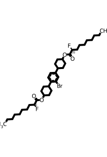 CCCCCCCC[C@H](F)C(=O)OC1CCC(c2ccc(C3CCC(OC(=O)[C@@H](F)CCCCCCCC)CC3)c(Br)c2)CC1